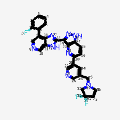 Fc1ccccc1-c1cncc2[nH]c(-c3n[nH]c4ccc(-c5cncc(CN6CCC(F)(F)C6)c5)nc34)nc12